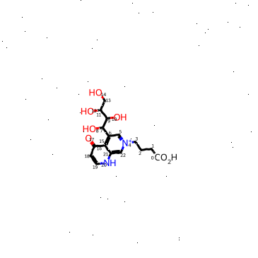 O=C(O)CCC[n+]1cc(C(O)C(O)C(O)CO)c2c(=O)cc[nH]c2c1